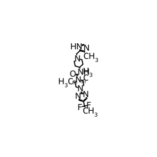 Cc1nc[nH]c1CN1CCC(NC(=O)N2[C@H](C)CN(c3ncc(C(C)(F)F)cn3)C[C@@H]2C)CC1